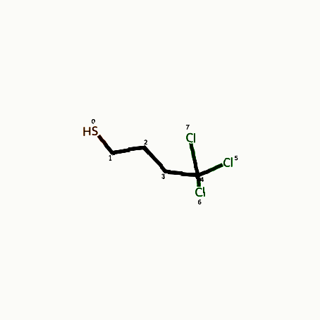 SCCCC(Cl)(Cl)Cl